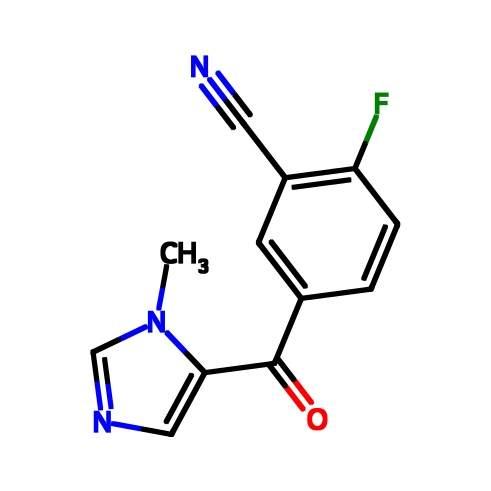 Cn1cncc1C(=O)c1ccc(F)c(C#N)c1